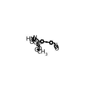 CC(=O)OC1CN(C[C@H](Cc2nc[nH]c(=O)c2O)c2ccc(C#Cc3ccc(CN4CCOCC4)cc3)cc2)C1